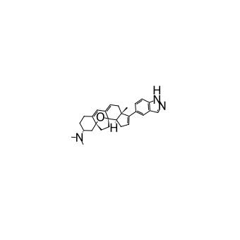 CN(C)[C@@H]1CCC2=CC3=CC[C@]4(C)C(c5ccc6[nH]ncc6c5)=CC[C@H]4[C@@]34CC[C@]2(C1)O4